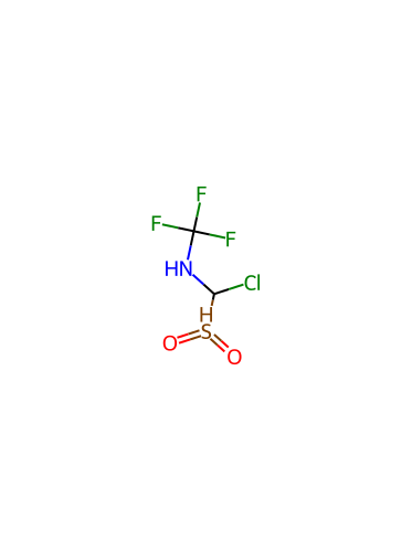 O=[SH](=O)C(Cl)NC(F)(F)F